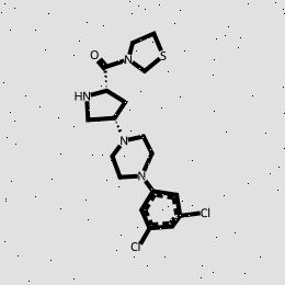 O=C([C@@H]1C[C@H](N2CCN(c3cc(Cl)cc(Cl)c3)CC2)CN1)N1CCSC1